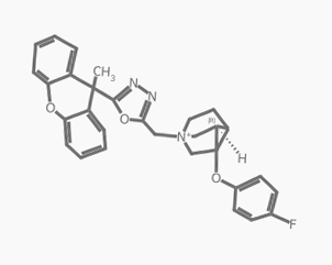 CC1(c2nnc(C[N+]34CCC(CC3)[C@@H](Oc3ccc(F)cc3)C4)o2)c2ccccc2Oc2ccccc21